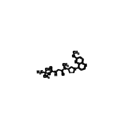 COc1ccc2nccc(N3CCC(N(C)C(=O)CNC(=O)OC(C)(C)C)C3)c2n1